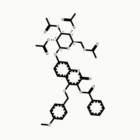 COc1ccc(COc2c(OC(=O)c3ccccc3)c(=O)oc3cc(O[C@@H]4O[C@H](COC(C)=O)[C@@H](OC(C)=O)[C@H](OC(C)=O)[C@H]4OC(C)=O)ccc23)cc1